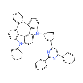 c1ccc(-c2cc(-c3cccc(-n4c5cccc6c7ccccc7c7cccc8c7c7c(c65)c4ccc7n8-c4ccccc4)c3)nc(-c3ccccc3)n2)cc1